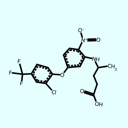 CC(CCC(=O)O)Nc1cc(Oc2ccc(C(F)(F)F)cc2Cl)ccc1[N+](=O)[O-]